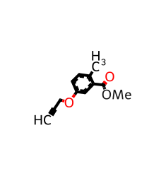 C#CCOc1ccc(C)c(C(=O)OC)c1